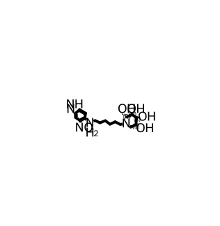 N=Nc1ccc(NCCCCCCN2C[C@H](O)[C@@H](O)[C@H](O)[C@H]2CO)c([N+](=O)[O-])c1